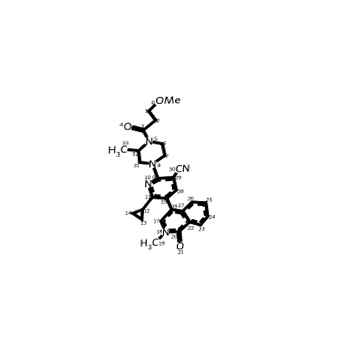 COCCC(=O)N1CCN(c2nc(C3CC3)c(-c3cn(C)c(=O)c4ccccc34)cc2C#N)CC1C